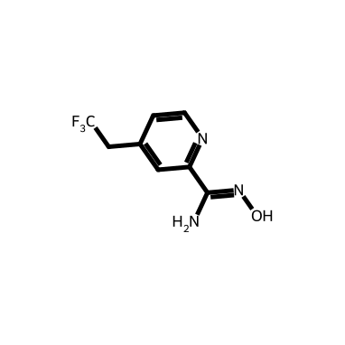 NC(=NO)c1cc(CC(F)(F)F)ccn1